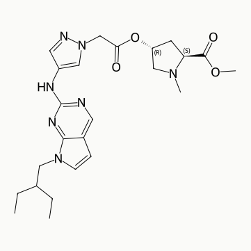 CCC(CC)Cn1ccc2cnc(Nc3cnn(CC(=O)O[C@@H]4C[C@@H](C(=O)OC)N(C)C4)c3)nc21